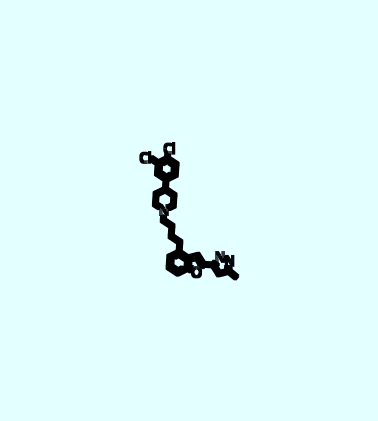 CC1=NN=C(c2cc3c(CCCCN4CCC(c5ccc(Cl)c(Cl)c5)CC4)cccc3o2)C1